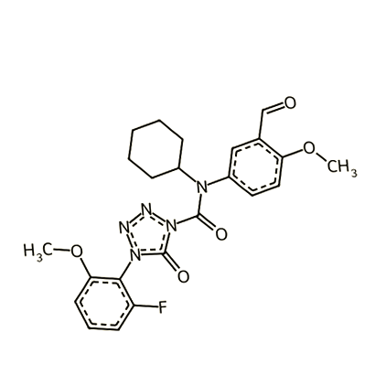 COc1ccc(N(C(=O)n2nnn(-c3c(F)cccc3OC)c2=O)C2CCCCC2)cc1C=O